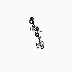 O=C(CCCOc1ccc(C[C@H](NC(=O)OCC23CCCC4CC(CC4C2)C3)C(=O)O)cc1)NC1=NCCN1